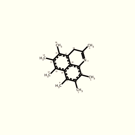 CC1=Nc2c(C)c(C)c(C)c3c(C)c(C)c(C)c(c23)C1